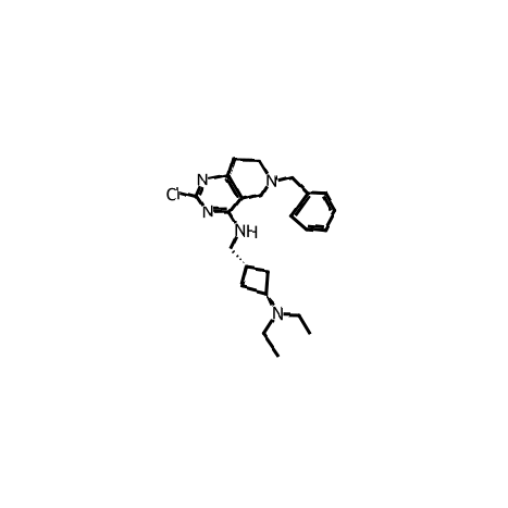 CCN(CC)[C@H]1C[C@H](CNc2nc(Cl)nc3c2CN(Cc2ccccc2)CC3)C1